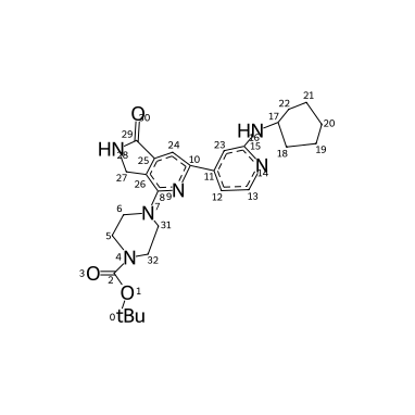 CC(C)(C)OC(=O)N1CCN(c2nc(-c3ccnc(NC4CCCCC4)c3)cc3c2CNC3=O)CC1